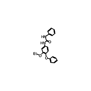 CCOc1cc(NC(=O)Nc2ccccc2)ccc1Oc1ccccc1